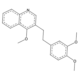 COc1ccc(CCc2cnc3ccccc3c2OC)cc1OC